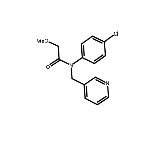 COCC(=O)N(Cc1cccnc1)c1ccc(Cl)cc1